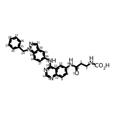 O=C(O)NCCC(=O)Nc1ccc2ncnc(Nc3ccc4c(cnn4Cc4ccccc4)c3)c2c1